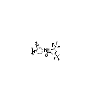 Nc1nc(NC(=O)c2cc(C(F)(F)F)cc(C(F)(F)F)c2)ccc1[N+](=O)[O-]